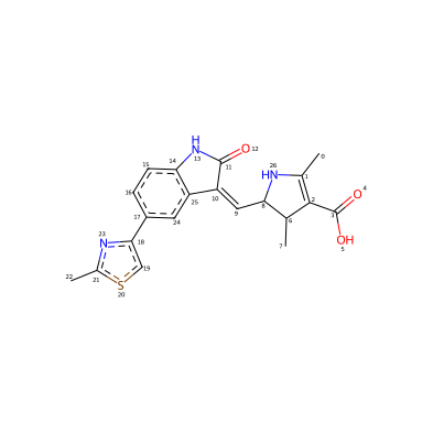 CC1=C(C(=O)O)C(C)C(/C=C2\C(=O)Nc3ccc(-c4csc(C)n4)cc32)N1